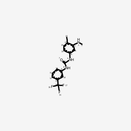 CNc1cc(NC(=O)Nc2cccc(C(F)(F)F)c2)ccc1C